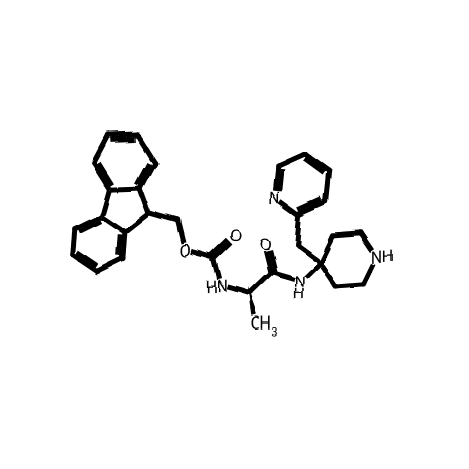 C[C@@H](NC(=O)OCC1c2ccccc2-c2ccccc21)C(=O)NC1(Cc2ccccn2)CCNCC1